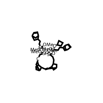 CO[Si](CCC1CC2C=CC1C2)(OC)O[Si]1(OC)CCC2CC3C=CC2C3C2=CC3CC2CC3CC[Si](OC)(O[Si](CCC2CC3C=CC2C3)(OC)OC2CCC2)O1